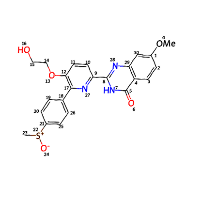 COc1ccc2c(=O)[nH]c(-c3ccc(OCCO)c(-c4ccc([S+](C)[O-])cc4)n3)nc2c1